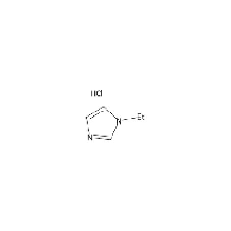 CCn1ccnc1.Cl